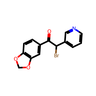 O=C(c1ccc2c(c1)OCO2)C(Br)c1cccnc1